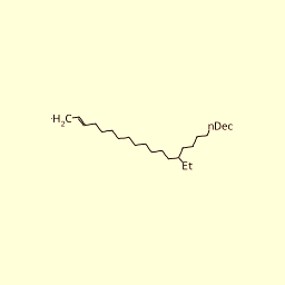 [CH2]/C=C/CCCCCCCCCCC(CC)CCCCCCCCCCCCC[CH2]